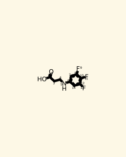 O=C(O)CCNc1cc(F)c(F)c(F)c1